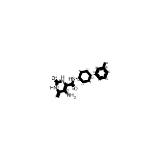 C=C1NC(=O)NC(C(=O)N[C@H]2CC[C@@H](c3cccc(C)c3)CC2)=C1N